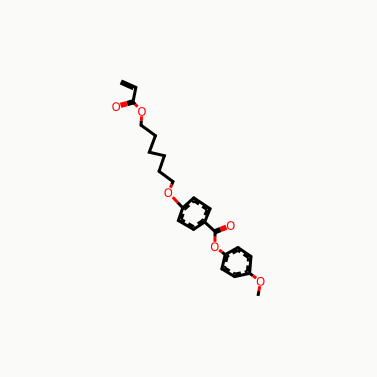 C=CC(=O)OCCCCCCOc1ccc(C(=O)Oc2ccc(OC)cc2)cc1